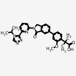 COc1cc(-c2ccc3c(c2)C(=O)N(c2cccc(-c4nncn4C(C)C)n2)C3)ccc1C(C)(C)C(=O)O